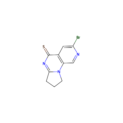 S=c1nc2n(c3cnc(Br)cc13)CCC2